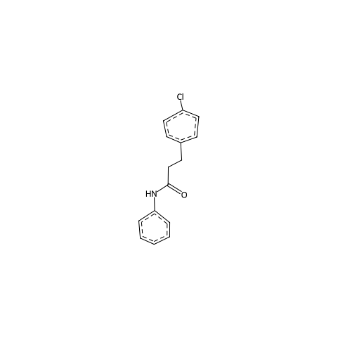 O=C(CCc1ccc(Cl)cc1)Nc1ccccc1